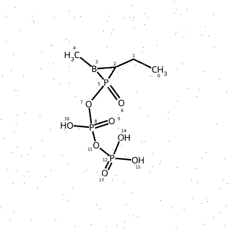 CCC1B(C)P1(=O)OP(=O)(O)OP(=O)(O)O